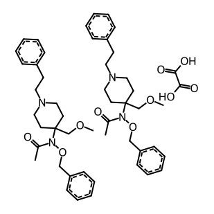 COCC1(N(OCc2ccccc2)C(C)=O)CCN(CCc2ccccc2)CC1.COCC1(N(OCc2ccccc2)C(C)=O)CCN(CCc2ccccc2)CC1.O=C(O)C(=O)O